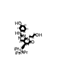 CC(C)[Si](C#Cc1cc(=O)n(CCCO)c2nc(Nc3cccc(O)c3)ncc12)(C(C)C)C(C)C